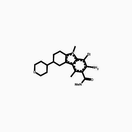 CCc1c(N)c(C(=O)NC)c(C)c2c3c(n(C)c12)CCC(C1CCOCC1)C3